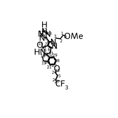 COCCCn1nc2c(c1-c1nn[nH]n1)C(=O)N[C@@]1(CCc3cc(OCCCC(F)(F)F)ccc31)C2